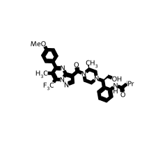 COc1ccc(-c2nc3c(C(=O)N4CCN([C@@H](CO)c5ccccc5NC(=O)C(C)C)C[C@H]4C)cnn3c(C(F)(F)F)c2C)cc1